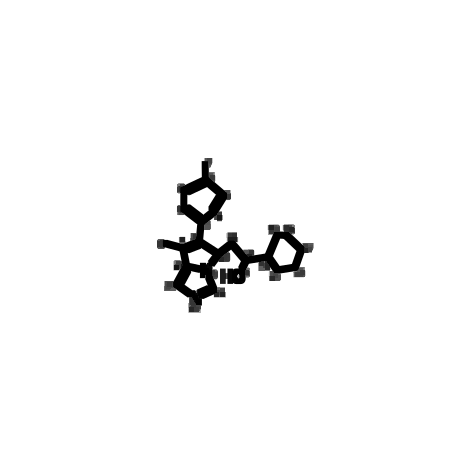 CC1=C(c2ccc(C)cc2)C(CC(O)C2CCCCC2)n2cncc21